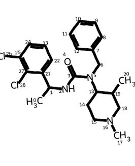 CC(NC(=O)N(Cc1ccccc1)C1CCN(C)CC1C)c1cccc(Cl)c1Cl